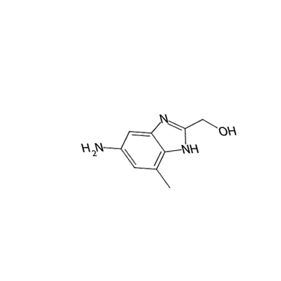 Cc1cc(N)cc2nc(CO)[nH]c12